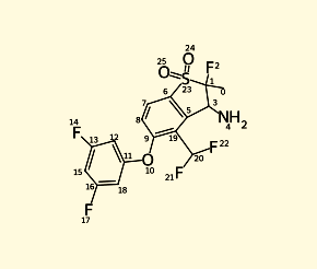 CC1(F)C(N)c2c(ccc(Oc3cc(F)cc(F)c3)c2C(F)F)S1(=O)=O